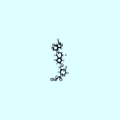 C[C@H]1CN(c2ccnc3c2cnn3C)Cc2ccc(OC[C@H]3CN(C(=O)OC(C)(C)C)CCN3C)cc21